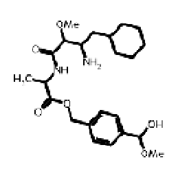 COC(O)c1ccc(COC(=O)C(C)NC(=O)C(OC)C(N)CC2CCCCC2)cc1